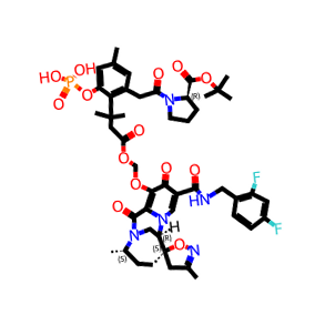 CC1=NO[C@@]2(CC[C@H](C)N3C[C@H]2n2cc(C(=O)NCc4ccc(F)cc4F)c(=O)c(OCOC(=O)CC(C)(C)c4c(CC(=O)N5CCC[C@@H]5C(=O)OC(C)(C)C)cc(C)cc4OP(=O)(O)O)c2C3=O)C1